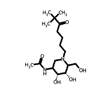 CC(=O)NC1CN(CCCCC(=O)C(C)(C)C)C(CO)[C@H](O)[C@@H]1O